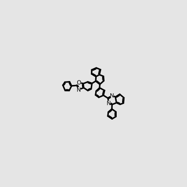 c1ccc(-c2nc3ccc(-c4c(-c5cccc(-c6nc(-c7ccccc7)c7ccccc7n6)c5)ccc5ccccc45)cc3o2)cc1